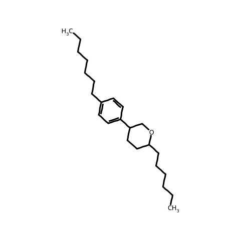 CCCCCCCc1ccc(C2CCC(CCCCCC)OC2)cc1